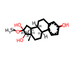 C[C@]12CC[C@@H]3c4ccc(O)cc4CC[C@H]3[C@@H]1C[C@@](O)(O[SiH3])[C@@H]2O